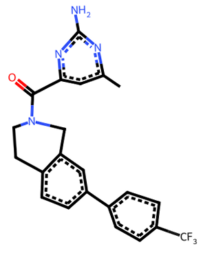 Cc1cc(C(=O)N2CCc3ccc(-c4ccc(C(F)(F)F)cc4)cc3C2)nc(N)n1